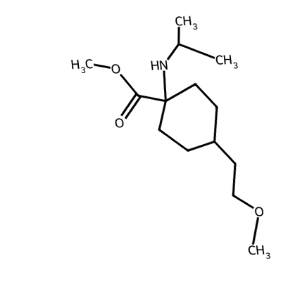 COCCC1CCC(NC(C)C)(C(=O)OC)CC1